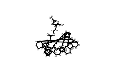 O=C(CCCC1(c2ccccc2)C23C4=C5CCC12C1CCC2c6c1c3c1c3c4c4c7c8c9c%10c(c%11c%12c(c6c1c(c%10%12)c83)C2CC%11)CCC9C7CCC54)OCCc1cc(Br)sc1Br